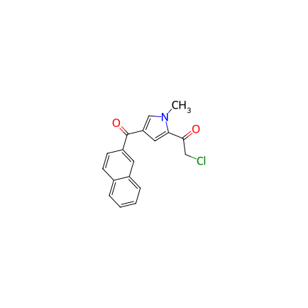 Cn1cc(C(=O)c2ccc3ccccc3c2)cc1C(=O)CCl